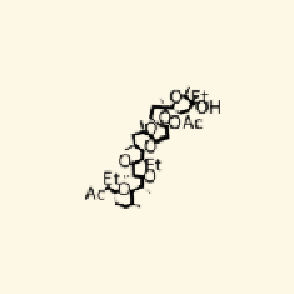 CC[C@@H](C(=O)[C@@H](C)C(=O)[C@H](C)[C@@H]1O[C@@H]([C@@H](CC)C(C)=O)CC[C@@H]1C)[C@H]1O[C@]2(C=C[C@@H](OC(C)=O)[C@]3(CC[C@@](C)([C@H]4CC[C@](O)(CC)[C@H](C)O4)O3)O2)[C@H](C)C[C@@H]1C